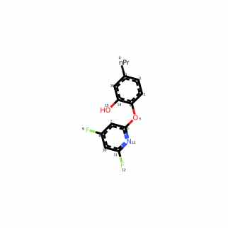 CCCc1ccc(Oc2cc(F)cc(F)n2)c(O)c1